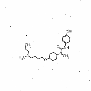 C=CCN(C)CCCCOC1CCC(N(C)C(=O)Nc2ccc(C(C)(C)C)cc2)CC1